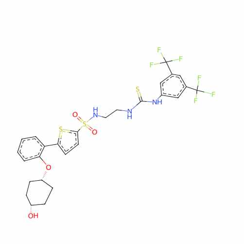 O=S(=O)(NCCNC(=S)Nc1cc(C(F)(F)F)cc(C(F)(F)F)c1)c1ccc(-c2ccccc2O[C@H]2CC[C@@H](O)CC2)s1